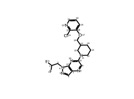 FC(F)Cn1ncc2ncc(N3CCCC(COc4cccnc4Cl)C3)nc21